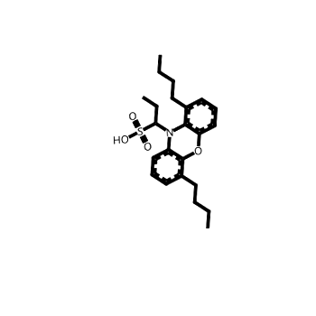 CCCCc1cccc2c1Oc1cccc(CCCC)c1N2C(CC)S(=O)(=O)O